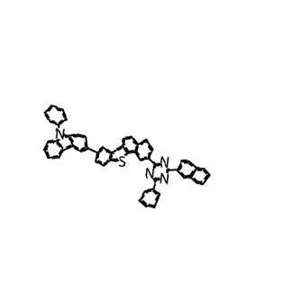 c1ccc(-c2nc(-c3ccc4ccccc4c3)nc(-c3ccc4ccc5c6cc(-c7ccc8c(c7)c7ccccc7n8-c7ccccc7)ccc6sc5c4c3)n2)cc1